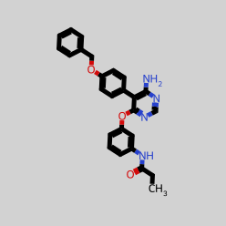 CCC(=O)Nc1cccc(Oc2ncnc(N)c2-c2ccc(OCc3ccccc3)cc2)c1